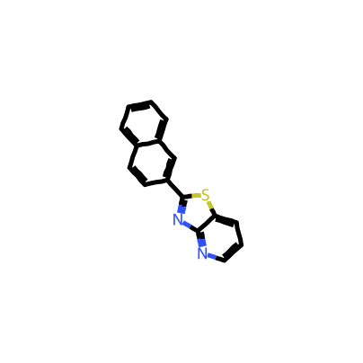 c1ccc2cc(-c3nc4ncccc4s3)ccc2c1